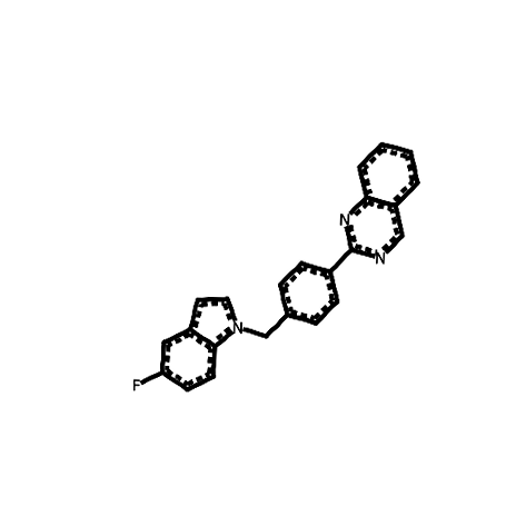 Fc1ccc2c(ccn2Cc2ccc(-c3ncc4ccccc4n3)cc2)c1